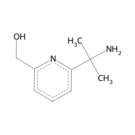 CC(C)(N)c1cccc(CO)n1